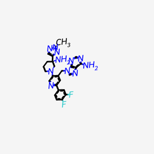 Cn1ncc([C@@]2(N)CCCN(c3cnc(-c4ccc(F)c(F)c4)cc3Cn3cnc4c(N)ncnc43)C2)n1